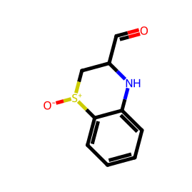 O=CC1C[S+]([O-])c2ccccc2N1